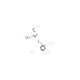 CCCCNc1nc(C=N)ncc1OCCCc1cc(OC)c(OC)cc1OC